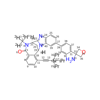 [2H]C([2H])([2H])N1C(=O)c2cccc(C#C[Si](C(C)C)(C(C)C)C(C)C)c2[C@H]2C[C@@H]1c1nc3ccc(-c4ccc(C5(N)COC5)cc4)cc3n12